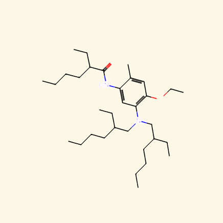 CCCCC(CC)CN(CC(CC)CCCC)c1cc(NC(=O)C(CC)CCCC)c(C)cc1OCC